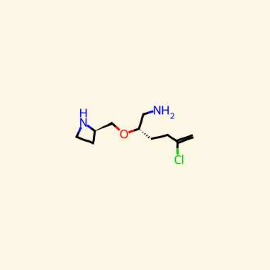 C=C(Cl)CC[C@@H](CN)OC[C@H]1CCN1